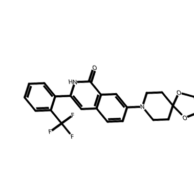 O=c1[nH]c(-c2ccccc2C(F)(F)F)cc2ccc(N3CCC4(CC3)OCCO4)cc12